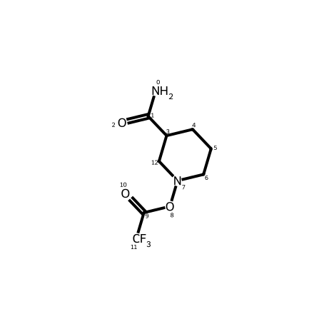 NC(=O)C1CCCN(OC(=O)C(F)(F)F)C1